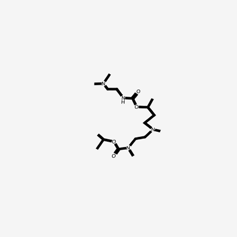 CC(C)OC(=O)N(C)CCN(C)CCC(C)OC(=O)NCCN(C)C